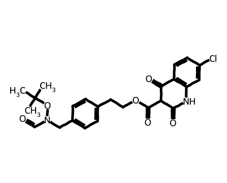 CC(C)(C)ON(C=O)Cc1ccc(CCOC(=O)C2C(=O)Nc3cc(Cl)ccc3C2=O)cc1